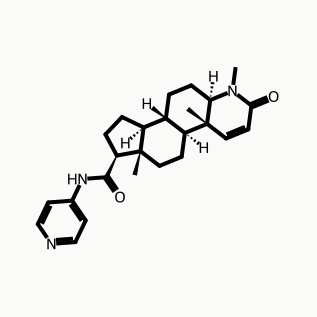 CN1C(=O)C=C[C@]2(C)[C@H]3CC[C@]4(C)[C@@H](C(=O)Nc5ccncc5)CC[C@H]4[C@@H]3CC[C@@H]12